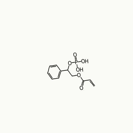 C=CC(=O)OCC(OP(=O)(O)O)c1ccccc1